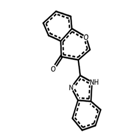 O=c1c(-c2nc3ccccc3[nH]2)coc2ccccc12